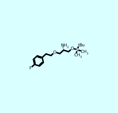 CC(C)(C)[Si](C)(C)OC[C@@H](N)COCCc1ccc(F)cc1